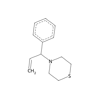 C=CC(c1ccccc1)N1CCSCC1